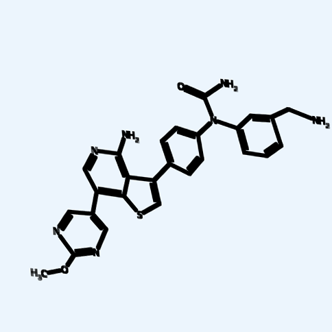 COc1ncc(-c2cnc(N)c3c(-c4ccc(N(C(N)=O)c5cccc(CN)c5)cc4)csc23)cn1